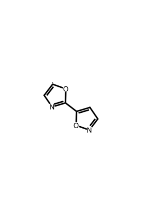 [c]1cnc(-c2ccno2)o1